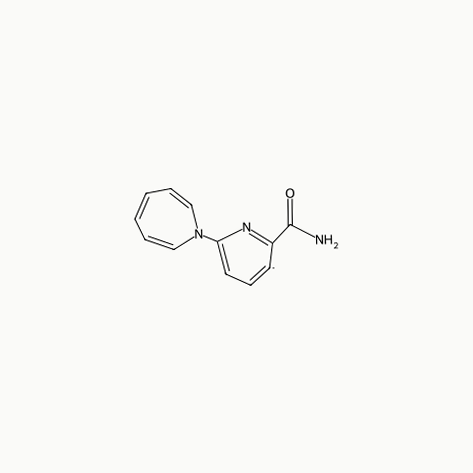 NC(=O)c1[c]ccc(N2C=CC=CC=C2)n1